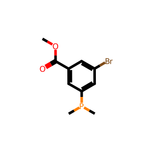 COC(=O)c1cc(Br)cc(P(C)C)c1